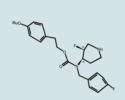 CC(C)COc1ccc(CCOC(=O)N(Cc2ccc(F)cc2)[C@@H]2CCNC[C@@H]2F)cc1